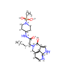 CC[C@H](C(=O)NC1CCN(S(C)(=O)=O)CC1)N1Cc2ccnc3[nH]cc(c23)C1=O